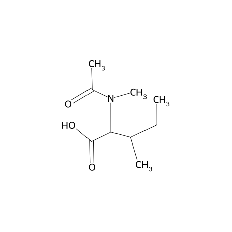 CCC(C)C(C(=O)O)N(C)C(C)=O